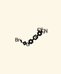 N#Cc1ccc(N2CCC(c3ccc(O[C@H]4C[C@H](CCBr)C4)cc3)CC2)cc1C(F)(F)F